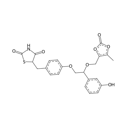 Cc1oc(=O)oc1COC(COc1ccc(CC2SC(=O)NC2=O)cc1)c1cccc(O)c1